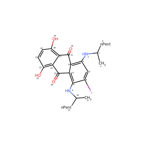 CCCCCC(C)Nc1cc(I)c(NC(C)CCCCC)c2c1C(=O)c1c(O)ccc(O)c1C2=O